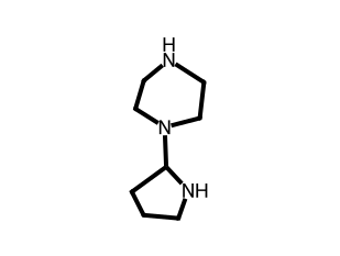 C1CNC(N2CCNCC2)C1